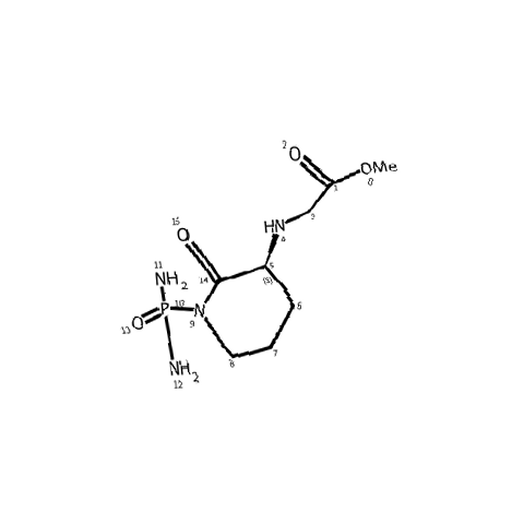 COC(=O)CN[C@H]1CCCN(P(N)(N)=O)C1=O